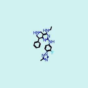 CCNc1nc(Nc2ccc(-n3cnc(C)n3)c(F)c2)nc2c1CNCC2c1ccccc1